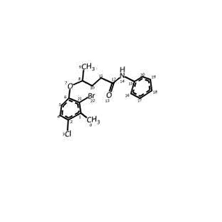 Cc1c(Cl)ccc(OC(C)CCC(=O)Nc2ccccc2)c1Br